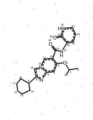 CC(C)Oc1cc2nc(C3CCCCC3)cn2cc1C(=O)Nc1ccc[nH]c1=O